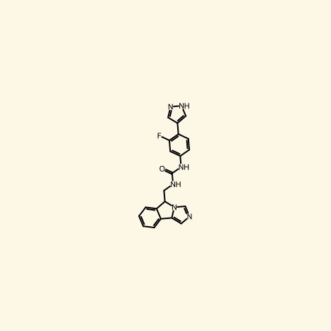 O=C(NCC1c2ccccc2-c2cncn21)Nc1ccc(-c2cn[nH]c2)c(F)c1